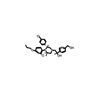 CCCOc1ccc(N2[C@H](C)CN(C[C@@](C)(O)c3ccc(CO)nc3)C[C@H]2c2ccc(Cl)cc2)c(Cl)c1